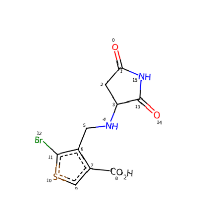 O=C1CC(NCc2c(C(=O)O)csc2Br)C(=O)N1